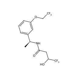 C[C@H](NC(=O)CC(O)C(F)(F)F)c1cccc(OCC(F)(F)F)c1